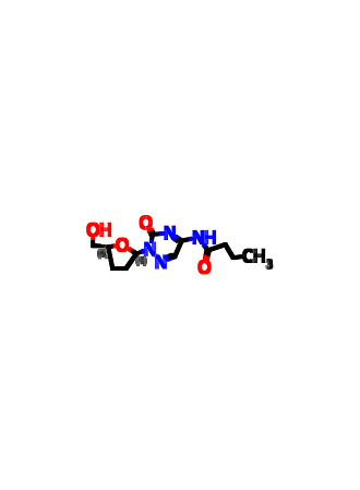 CCCC(=O)Nc1cnn([C@H]2CC[C@@H](CO)O2)c(=O)n1